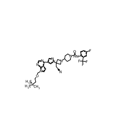 C[Si](C)(C)CCOCn1ccc2c(-c3cnn(C4(CC#N)CN(C5CCN(C(=O)Nc6ccc(F)cc6C(F)(F)F)CC5)C4)c3)ncnc21